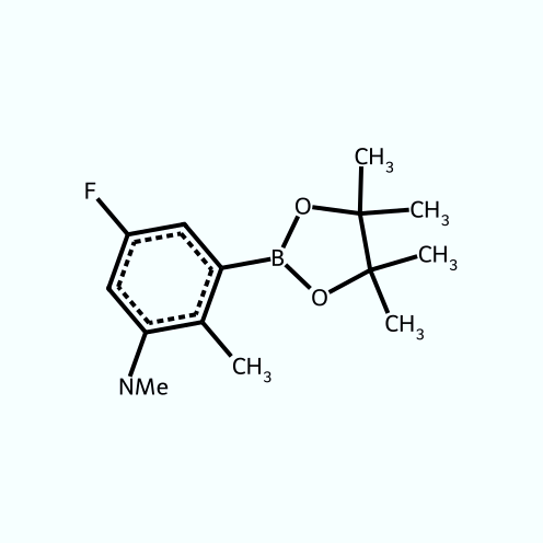 CNc1cc(F)cc(B2OC(C)(C)C(C)(C)O2)c1C